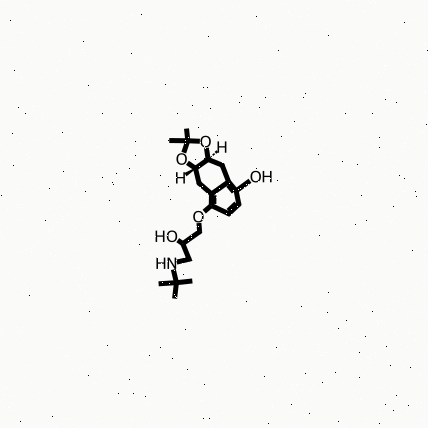 CC(C)(C)NCC(O)COc1ccc(O)c2c1C[C@@H]1OC(C)(C)O[C@H]1C2